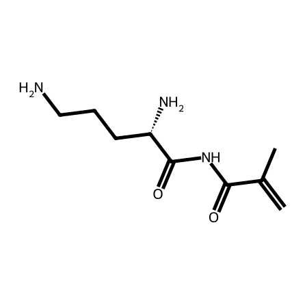 C=C(C)C(=O)NC(=O)[C@@H](N)CCCN